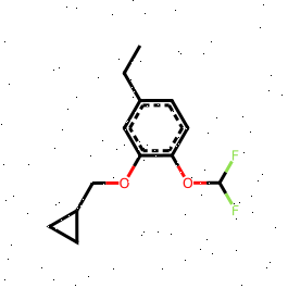 CCc1ccc(OC(F)F)c(OCC2CC2)c1